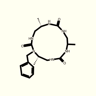 CC1CNC(=O)N[C@@H](C)CNC(=O)N(Cc2ccccc2)[C@@H](C)CNC(=O)N1